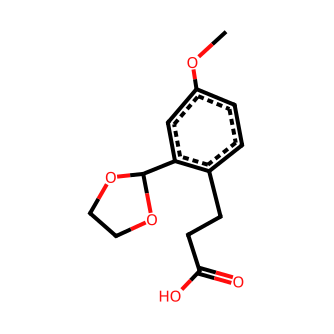 COc1ccc(CCC(=O)O)c(C2OCCO2)c1